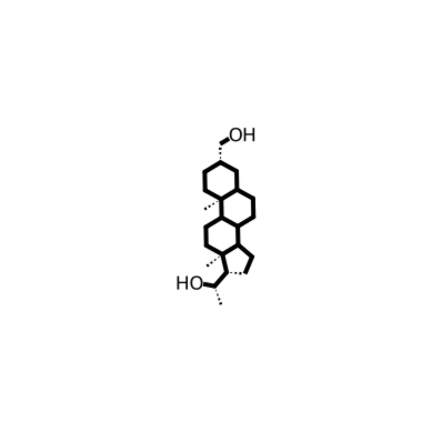 C[C@H](O)[C@H]1CCC2C3CCC4C[C@@H](CO)CC[C@]4(C)C3CC[C@@]21C